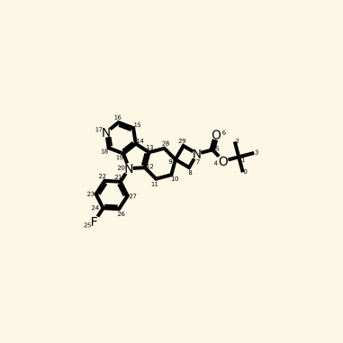 CC(C)(C)OC(=O)N1CC2(CCc3c(c4ccncc4n3-c3ccc(F)cc3)C2)C1